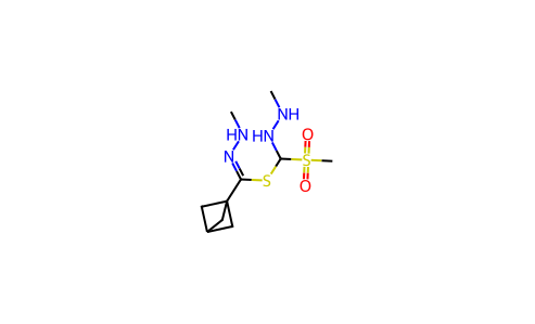 CN/N=C(\SC(NNC)S(C)(=O)=O)C12CC(C1)C2